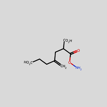 C=C(CCC(=O)O)CC(C(=O)O)C(=O)ON